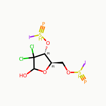 OC1O[C@H](CO[SH](#P)I)[C@@H](O[SH](#P)I)C1(Cl)Cl